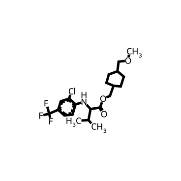 COCC1CCC(COC(=O)C(Nc2ccc(C(F)(F)F)cc2Cl)C(C)C)CC1